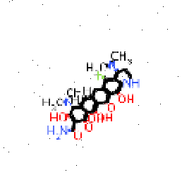 CN(C)C1CCNc2c(O)c3c(c(F)c21)C[C@H]1C[C@H]2[C@H](N(C)C)C(O)=C(C(N)=O)C(=O)[C@@]2(O)C(O)=C1C3=O